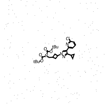 CC(C)(C)OC(=O)N(CC1CC(n2cc(-c3cccc(Cl)n3)c(C3CC3)n2)C1)C(=O)OC(C)(C)C